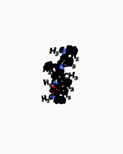 CC(c1cc2c(c3ccccc13)C(C)(Cc1ccccc1)C(/C=C/C=C1/N(C)c3ccc4ccccc4c3C1(C)Cc1ccccc1)=[N+]2C)c1cc2c(c3ccccc13)C(C)(Cc1ccccc1)C(/C=C/C=C1/N(C)c3ccc4ccccc4c3C1(C)Cc1ccccc1)=[N+]2C